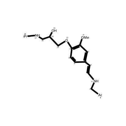 COc1cc(C=CNCC(C)=O)ccc1OCC(O)CNC(C)C